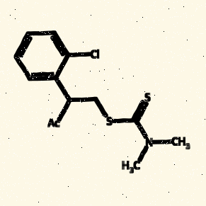 CC(=O)C(CSC(=S)N(C)C)c1ccccc1Cl